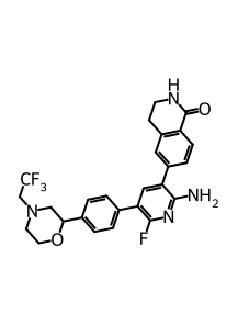 Nc1nc(F)c(-c2ccc(C3CN(CC(F)(F)F)CCO3)cc2)cc1-c1ccc2c(c1)CCNC2=O